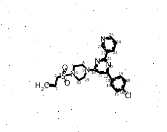 C=CCS(=O)(=O)N1CCN(c2cc(-c3ccc(Cl)cc3)nc(-c3cccnc3)n2)CC1